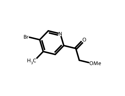 COCC(=O)c1cc(C)c(Br)cn1